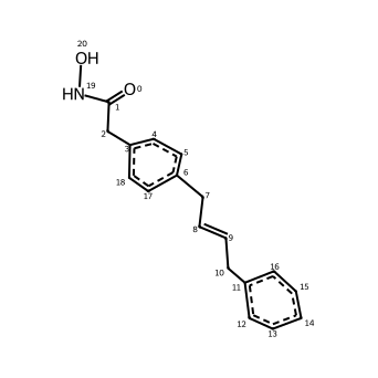 O=C(Cc1ccc(C/C=C/Cc2ccccc2)cc1)NO